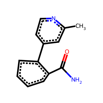 Cc1cc(-c2ccccc2C(N)=O)ccn1